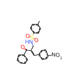 Cc1ccc(S(=O)(=O)NC/C(=C\c2ccc([N+](=O)[O-])cc2)C(=O)c2ccccc2)cc1